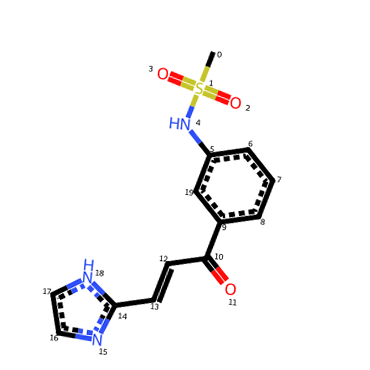 CS(=O)(=O)Nc1cccc(C(=O)/C=C/c2ncc[nH]2)c1